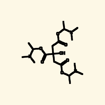 CC(OC(=O)CC(O)(CC(=O)OC(C)N(C)C)C(=O)OC(C)N(C)C)N(C)C